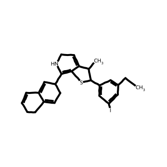 CCc1cc(I)cc(C2SC3=C(C4C=C5C=CCCC5=CC4)NCC=C3C2C)c1